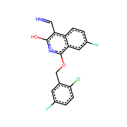 N=Cc1c(O)nc(OCc2cc(F)ccc2Cl)c2cc(F)ccc12